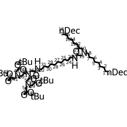 CCCCCCCCCCCCCCCCCCN(CCCCCCCCCCCCCCCCCC)CC(=O)NCCCCCCCCCCNC(=O)CN(CCN(CC(=O)OC(C)(C)C)CC(=O)OC(C)(C)C)CCN(CC(=O)OC(C)(C)C)CC(=O)OC(C)(C)C